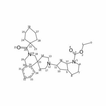 CCOC(=O)N1CCCC2CC(N3CCC4(CC3)CN(C(=O)C3(C)CCCCC3)Cc3ccccc34)CC21